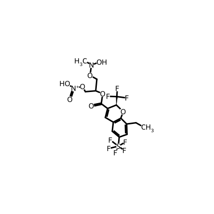 CCc1cc(S(F)(F)(F)(F)F)cc2c1O[C@H](C(F)(F)F)C(C(=O)OC(CON(C)O)CO[N+](=O)O)=C2